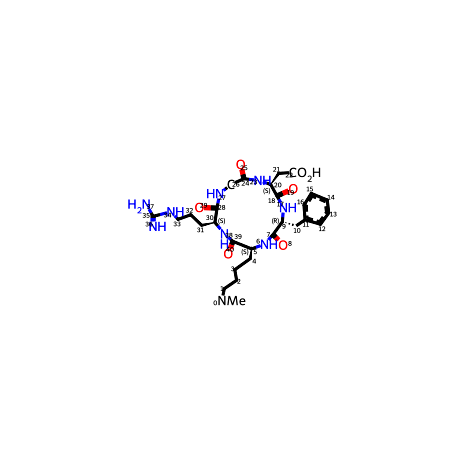 CNCCCC[C@@H]1NC(=O)[C@@H](Cc2ccccc2)NC(=O)[C@H](CC(=O)O)NC(=O)CNC(=O)[C@H](CCCNC(=N)N)NC1=O